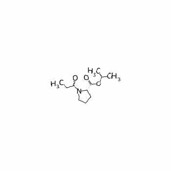 CCC(=O)N1CCC[C@H]1C(=O)OC(C)C